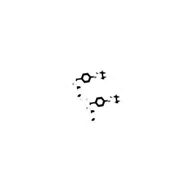 C[C@@H](c1ccc(B2OC(C)(C)C(C)(C)O2)cc1)N(C)C(=O)OC(C)(C)C.C[C@@H](c1ccc(B2OC(C)(C)C(C)(C)O2)cc1)N(C)C(=O)OC(C)(C)C